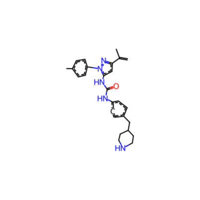 C=C(C)c1cc(NC(=O)Nc2ccc(CC3CCNCC3)cc2)n(-c2ccc(C)cc2)n1